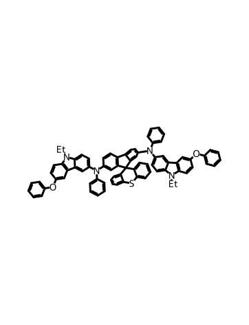 CCn1c2ccc(Oc3ccccc3)cc2c2cc(N(c3ccccc3)c3ccc4c(c3)C3(c5ccccc5Sc5ccccc53)c3cc(N(c5ccccc5)c5ccc6c(c5)c5cc(Oc7ccccc7)ccc5n6CC)ccc3-4)ccc21